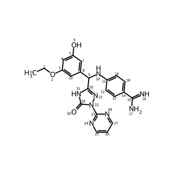 CCOc1cc(O)cc(C(Nc2ccc(C(=N)N)cc2)c2nn(-c3ncccn3)c(=O)[nH]2)c1